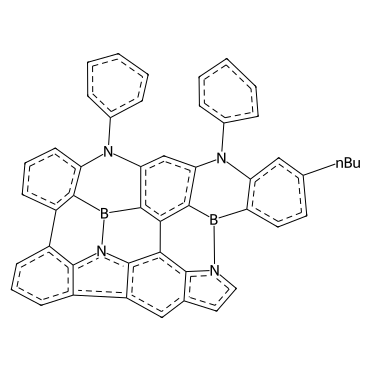 CCCCc1ccc2c(c1)N(c1ccccc1)c1cc3c4c5c1B2n1ccc2cc6c7cccc8c7n(c6c-5c21)B4c1c-8cccc1N3c1ccccc1